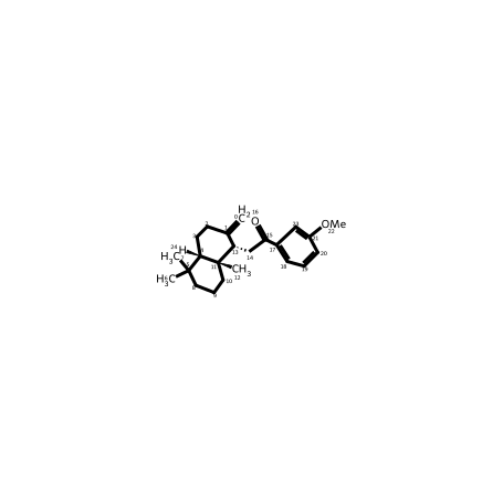 C=C1CC[C@H]2C(C)(C)CCC[C@@]2(C)[C@H]1CC(=O)c1cccc(OC)c1